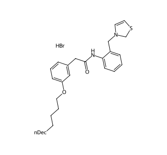 Br.CCCCCCCCCCCCCCOc1cccc(CC(=O)Nc2ccccc2CN2C=CSC2)c1